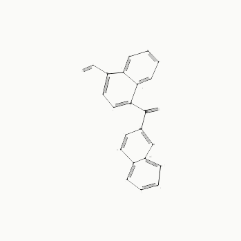 O=Cc1ccc(C(=O)c2ccc3ccccc3c2)c2ccccc12